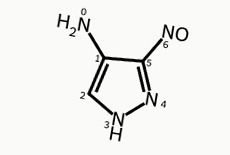 Nc1c[nH]nc1N=O